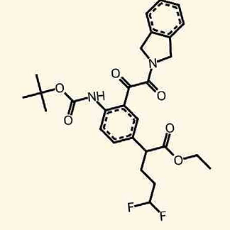 CCOC(=O)C(CCC(F)F)c1ccc(NC(=O)OC(C)(C)C)c(C(=O)C(=O)N2Cc3ccccc3C2)c1